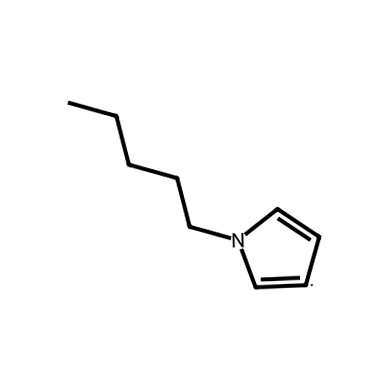 CCCCCn1c[c]cc1